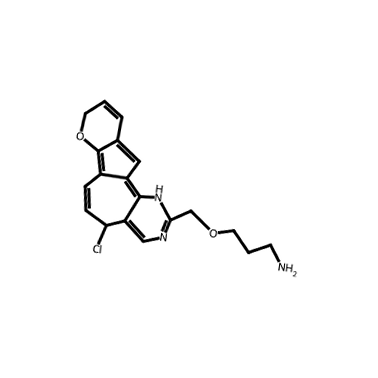 NCCCOCC1=NC=C2C(=C3C=C4C=CCOC4=C3C=CC2Cl)N1